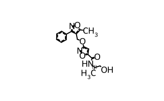 Cc1onc(-c2ccccc2)c1COc1cc(C(=O)N[C@@H](C)CO)on1